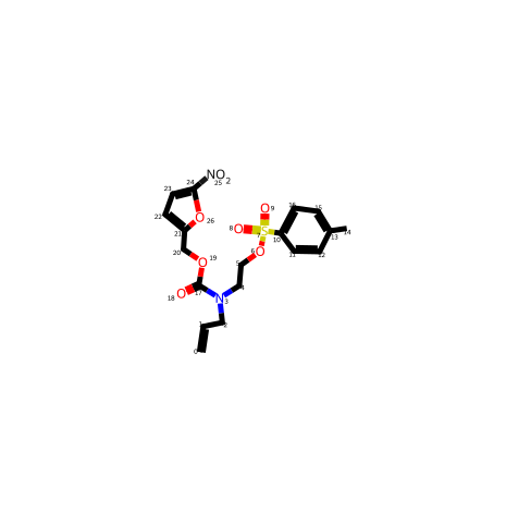 C=CCN(CCOS(=O)(=O)c1ccc(C)cc1)C(=O)OCc1ccc([N+](=O)[O-])o1